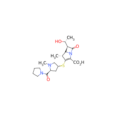 C[C@H]1C(S[C@H]2C[C@@H](C(=O)N3CCCC3)N(C)C2)=C(C(=O)O)N2C(=O)[C@H]([C@@H](C)O)C12